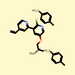 C=Cc1ccnc(-c2cc(OC[C@@H](C)NC)cnc2Cl)c1.Cc1ccc(S(=O)(=O)O)cc1.Cc1ccc(S(=O)(=O)O)cc1